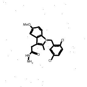 COc1ccc2c(c1)c(CC(=O)NN)c(C)n2Cc1cc(Cl)ccc1Cl